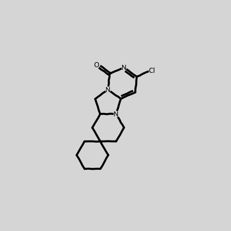 O=c1nc(Cl)cc2n1CC1CC3(CCCCC3)CCN21